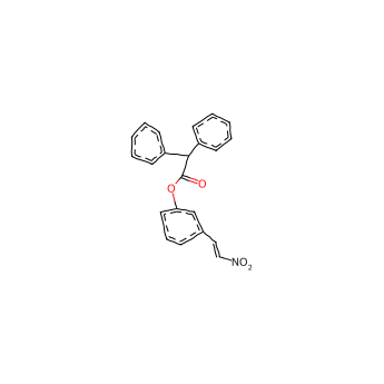 O=C(Oc1cccc(C=C[N+](=O)[O-])c1)C(c1ccccc1)c1ccccc1